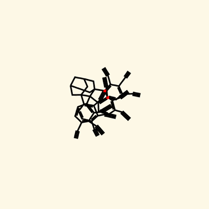 C#Cc1ccc(C23CC4CC(C2)CC(c2ccc(C#C)c(C#C)c2C#C)(C4)C3(c2ccc(C#C)c(C#C)c2C#C)c2ccc(C#C)c(C#C)c2C#C)c(C#C)c1C#C